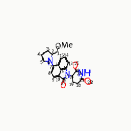 COCC1CCCN1c1ccc2c3c(cccc13)N(C1CCC(=O)NC1=O)C2=O